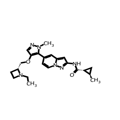 CCN1CC[C@@H]1COc1cnn(C)c1-c1ccn2nc(NC(=O)[C@@H]3C[C@H]3C)cc2c1